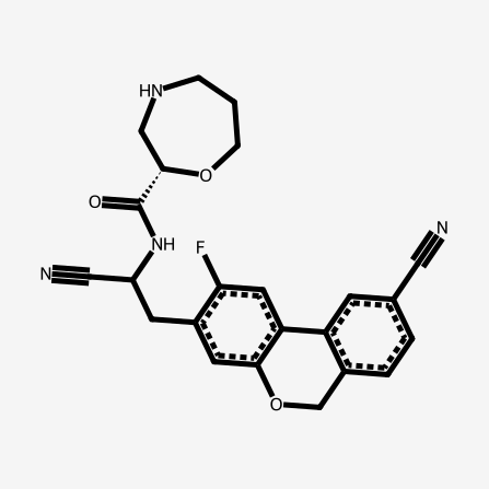 N#Cc1ccc2c(c1)-c1cc(F)c(CC(C#N)NC(=O)[C@@H]3CNCCCO3)cc1OC2